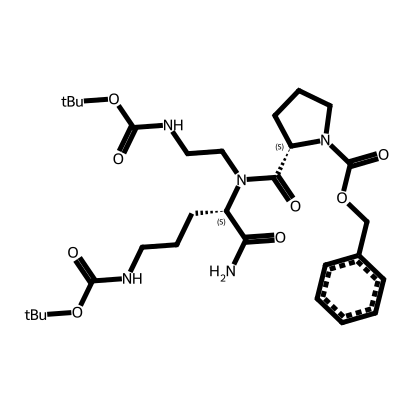 CC(C)(C)OC(=O)NCCC[C@@H](C(N)=O)N(CCNC(=O)OC(C)(C)C)C(=O)[C@@H]1CCCN1C(=O)OCc1ccccc1